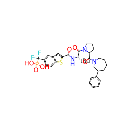 CC(C)(C)[C@H](NC(=O)c1cc2cc(C(F)(F)P(=O)(O)O)ccc2s1)C(=O)N1CCC[C@H]1C(=O)N1CCCCC(c2ccccc2)C1